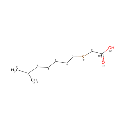 CC(C)CCCCCSCC(=O)O